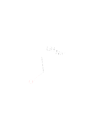 CC[O-].[LiH].[Na+]